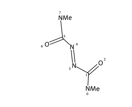 CNC(=O)/N=N/C(=O)NC